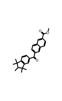 COC(=O)c1ccc2cc(C(=O)c3ccc4c(c3)C(C)(C)C(C)C4(C)C)ccc2c1